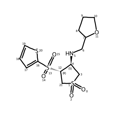 O=S1(=O)C[C@H](NCC2CCCO2)[C@@H](S(=O)(=O)c2cccs2)C1